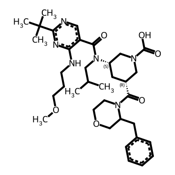 COCCCNc1nc(C(C)(C)C)ncc1C(=O)N(CC(C)C)[C@H]1C[C@@H](C(=O)N2CCOCC2Cc2ccccc2)CN(C(=O)O)C1